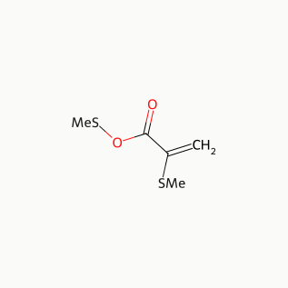 C=C(SC)C(=O)OSC